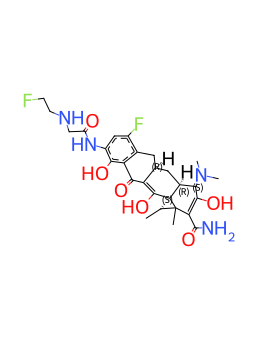 CC1C2(C)C(C(N)=O)=C(O)[C@@H](N(C)C)[C@@H]3C[C@@H]4Cc5c(F)cc(NC(=O)CNCCF)c(O)c5C(=O)C4=C(O)[C@@]132